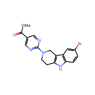 COC(=O)c1cnc(N2CCc3[nH]c4ccc(Br)cc4c3C2)nc1